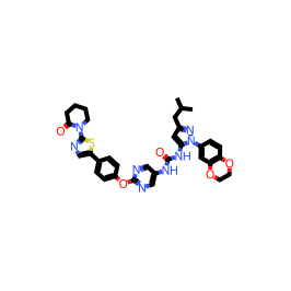 CC(C)Cc1cc(NC(=O)Nc2cnc(Oc3ccc(-c4cnc(N5CCCCC5=O)s4)cc3)nc2)n(-c2ccc3c(c2)OCCO3)n1